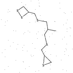 CC(CSCC1CS1)CSCC1CSS1